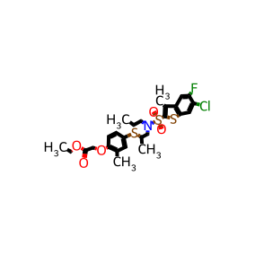 CCCN(CC(C)Sc1ccc(OCC(=O)OCC)c(C)c1)S(=O)(=O)c1sc2cc(Cl)c(F)cc2c1C